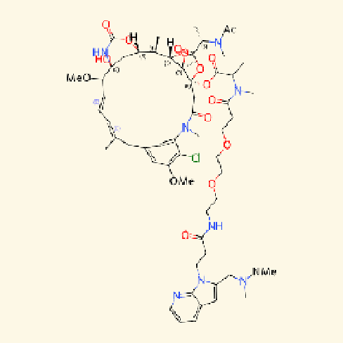 CNN(C)Cc1cc2cccnc2n1CCC(=O)NCCOCCOCCC(=O)N(C)C(C)C(=O)O[C@]1(OC(=O)[C@H](C)N(C)C(C)=O)CC(=O)N(C)c2cc(cc(OC)c2Cl)C/C(C)=C/C=C/C(OC)[C@@]2(O)C[C@H](OC(=O)N2)[C@@H](C)[C@@H]2O[C@]21C